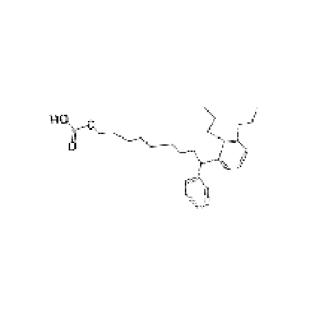 CCCc1cccc(C(CCCCCCCCOC(=O)O)c2ccccc2)c1CCC